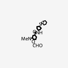 CNc1cc(C(=O)Nc2ccc(SN3CCCCC3)cc2)ccc1OCC=O